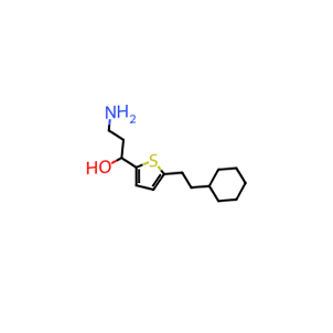 NCCC(O)c1ccc(CCC2CCCCC2)s1